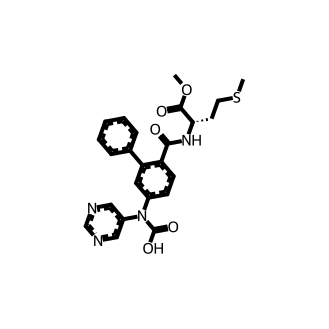 COC(=O)[C@H](CCSC)NC(=O)c1ccc(N(C(=O)O)c2cncnc2)cc1-c1ccccc1